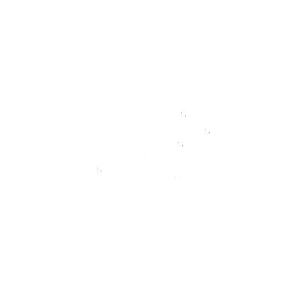 CC1(C)c2ccccc2-n2c3ccccc3c3cc(-c4cccc5c4oc4c(-c6nc(-c7ccccc7)nc(-c7ccccc7)n6)cccc45)cc1c32